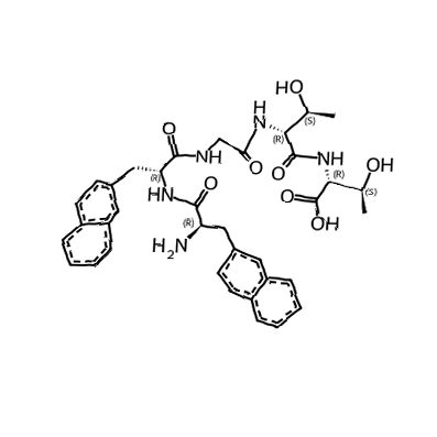 C[C@H](O)[C@@H](NC(=O)[C@H](NC(=O)CNC(=O)[C@@H](Cc1ccc2ccccc2c1)NC(=O)[C@H](N)Cc1ccc2ccccc2c1)[C@H](C)O)C(=O)O